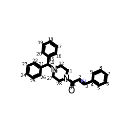 O=C(/C=C/c1ccccc1)N1CCN(C(c2ccccc2)c2ccccc2)CC1